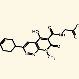 Cn1c(=O)c(C(=O)NCC(=O)O)c(O)c2cc(C3CC=CCC3)nnc21